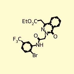 CCOC(=O)Cc1nn(CC(=O)Nc2cc(C(F)(F)F)ccc2Br)c(=O)c2ccccc12